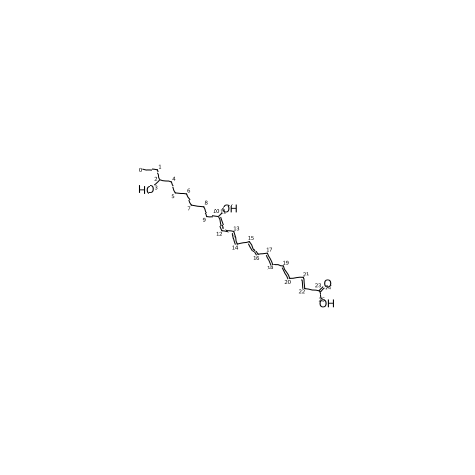 CCC(O)CCCCCCC(O)=CC=CC=CC=CC=CC=CC(=O)O